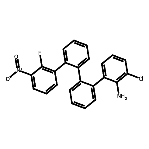 Nc1c(Cl)cccc1-c1ccccc1-c1ccccc1-c1cccc([N+](=O)[O-])c1F